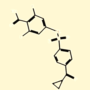 O=C(O)c1c(F)cc(NS(=O)(=O)c2ccc(C(=O)C3CC3)cc2)cc1F